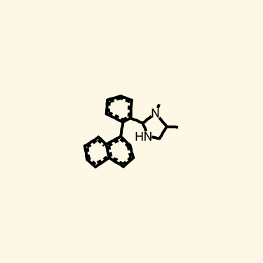 CC1CNC(c2ccccc2-c2cccc3ccccc23)N1C